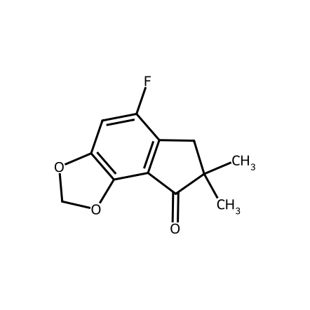 CC1(C)Cc2c(F)cc3c(c2C1=O)OCO3